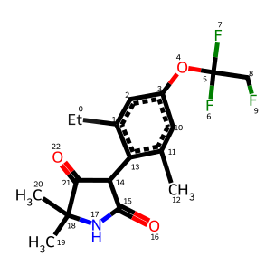 CCc1cc(OC(F)(F)CF)cc(C)c1C1C(=O)NC(C)(C)C1=O